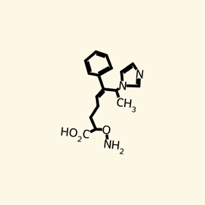 CC(C(=CCCC(ON)C(=O)O)c1ccccc1)n1ccnc1